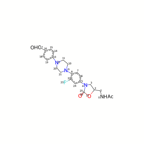 CC(=O)NCC1CN(c2ccc(N3CCN(c4ccc(C=O)cc4)CC3)c(F)c2)C(=O)O1